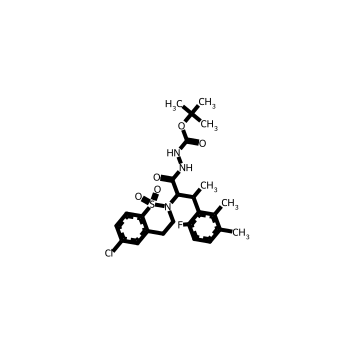 Cc1ccc(F)c(C(C)C(C(=O)NNC(=O)OC(C)(C)C)N2CCc3cc(Cl)ccc3S2(=O)=O)c1C